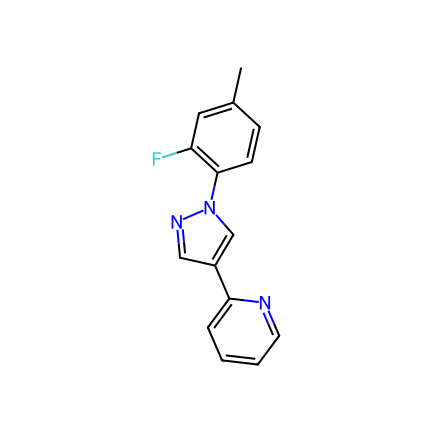 Cc1ccc(-n2cc(-c3ccccn3)cn2)c(F)c1